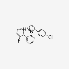 Fc1ccccc1-c1ccccc1N1NC=CC1c1ccc(Cl)cc1